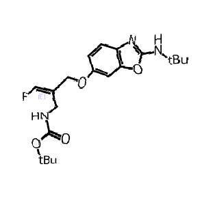 CC(C)(C)Nc1nc2ccc(OC/C(=C/F)CNC(=O)OC(C)(C)C)cc2o1